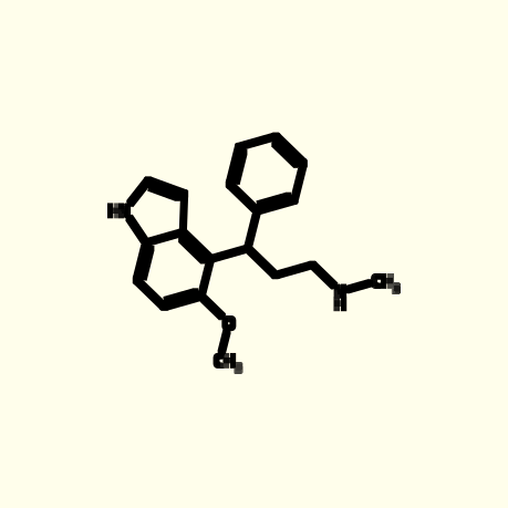 CNCCC(c1ccccc1)c1c(OC)ccc2[nH]ccc12